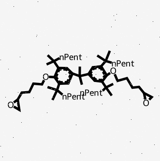 CCCCCC(C)(C)c1cc(C(C)(C)c2cc(C(C)(C)CCCCC)c(OCCCCC3CO3)c(C(C)(C)CCCCC)c2)cc(C(C)(C)CCCCC)c1OCCCCC1CO1